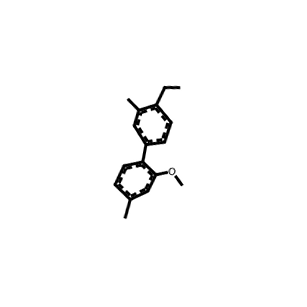 CCc1ccc(-c2ccc(C)cc2OC)cc1C